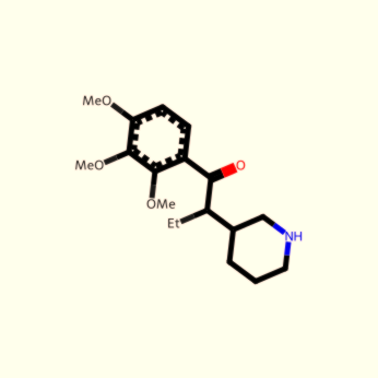 CCC(C(=O)c1ccc(OC)c(OC)c1OC)C1CCCNC1